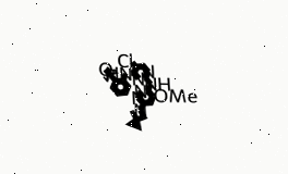 COc1cc(N2CC3(CC3)C2)nnc1Nc1ncc(Cl)c(Nc2ccccc2P(C)(C)=O)n1